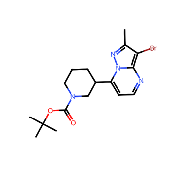 Cc1nn2c(C3CCCN(C(=O)OC(C)(C)C)C3)ccnc2c1Br